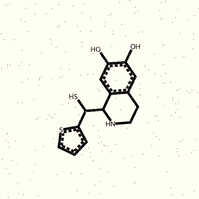 Oc1cc2c(cc1O)C(C(S)c1cccs1)NCC2